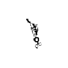 CCCCOCC(F)(F)C(F)(F)C(F)(F)COc1ccc(C(=O)OC)cc1